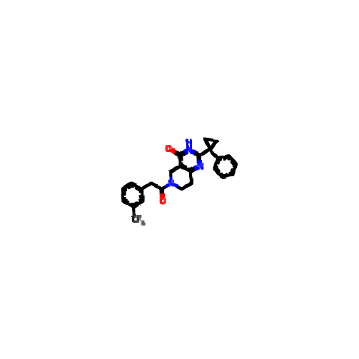 O=C(Cc1cccc(C(F)(F)F)c1)N1CCc2nc(C3(c4ccccc4)CC3)[nH]c(=O)c2C1